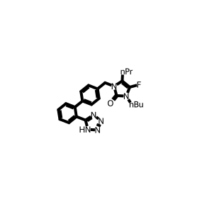 CCCCn1c(F)c(CCC)n(Cc2ccc(-c3ccccc3-c3nnn[nH]3)cc2)c1=O